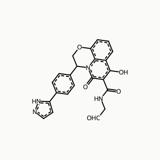 O=CCNC(=O)c1c(O)c2cccc3c2n(c1=O)C(c1ccc(-c2ccn[nH]2)cc1)CO3